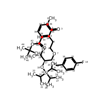 COC(=O)C(CCO[C@H](Cc1ccc(F)cc1)[C@@H](O[Si](C(C)C)(C(C)C)C(C)C)[C@H](C)OCc1ccccc1)NC(=O)OC(C)(C)C